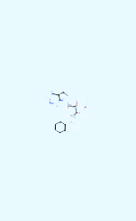 CC1(C)O[C@@H]2[C@H](O1)[C@@H](C(=O)c1ccccc1F)O[C@H]2n1ccc2c(Cl)ncnc21